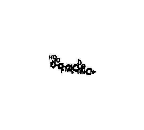 COc1cc2c(cc1C(=O)NC1CCN(C)CC1)sc1nc(-c3ccc(C4CCCN4C(=O)O)cc3F)cn12